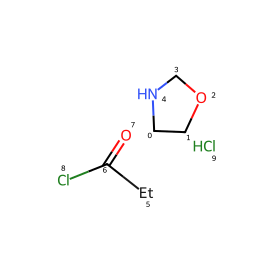 C1COCN1.CCC(=O)Cl.Cl